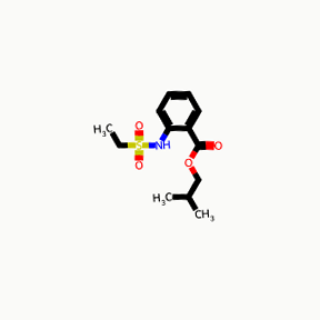 CCS(=O)(=O)Nc1ccccc1C(=O)OCC(C)C